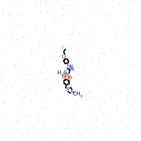 CN1CCN(Cc2ccc(S(=O)(=O)N(C)Cc3cn(-c4ccc(OCCCF)cc4)nn3)cc2)CC1